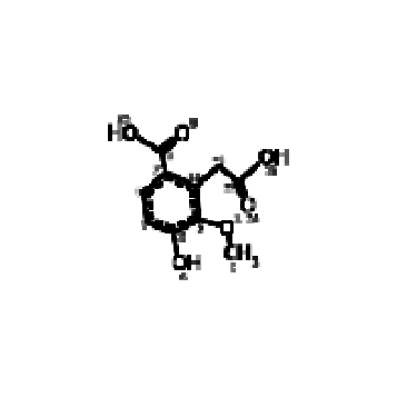 COc1c(O)ccc(C(=O)O)c1CC(=O)O